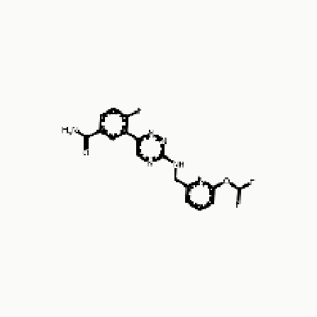 NC(=O)c1ccc(F)c(-c2cnc(NCc3cccc(OC(F)F)n3)nn2)c1